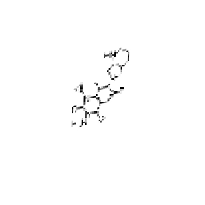 Cc1c(N2CC3CCCNC3C2)c(F)cc2c(=O)n(N)c(=O)n(C3CC3)c12